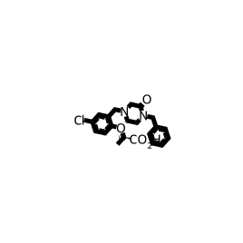 C[C@H](Oc1ccc(Cl)cc1CN1CCN(Cc2ccccc2)C(=O)C1)C(=O)O